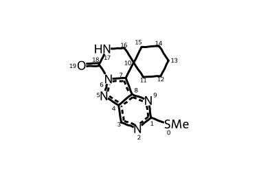 CSc1ncc2nn3c(c2n1)C1(CCCCC1)CNC3=O